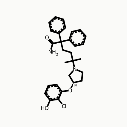 CC(C)(CCC(C(N)=O)(c1ccccc1)c1ccccc1)N1CC[C@@H](Oc2cccc(O)c2Cl)C1